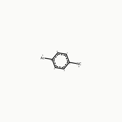 [C-]#[N+]c1ccc(C(C)=O)cc1